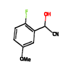 COc1ccc(F)c(C(O)C#N)c1